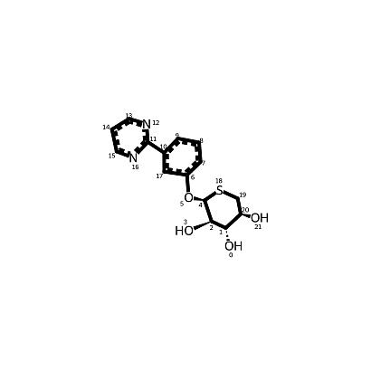 O[C@@H]1[C@@H](O)[C@@H](Oc2cccc(-c3ncccn3)c2)SC[C@H]1O